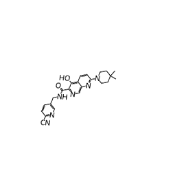 CC1(C)CCN(c2ccc3c(O)c(C(=O)NCc4ccc(C#N)nc4)ncc3n2)CC1